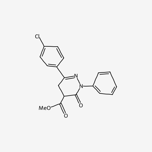 COC(=O)C1CC(c2ccc(Cl)cc2)=NN(c2ccccc2)C1=O